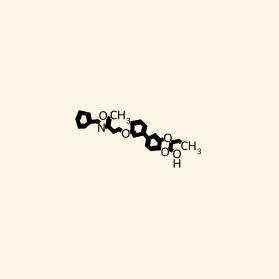 CCC(Oc1cccc(-c2cccc(OCCc3nc(-c4ccccc4)oc3C)c2)c1)C(=O)O